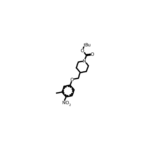 Cc1cc(OCC2CCN(C(=O)OC(C)(C)C)CC2)ccc1[N+](=O)[O-]